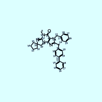 CN1C(=O)c2c(nc(Cc3ccc(-c4ccccc4)cc3)n2Cc2ccccc2)N2CC3(CCCC3)N=C12